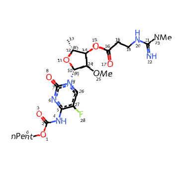 CCCCCOC(=O)Nc1nc(=O)n([C@@H]2O[C@H](C)C(OC(=O)CCNC(=N)NC)C2OC)cc1F